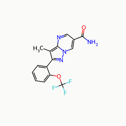 Cc1c(-c2ccccc2OC(F)(F)F)nn2cc(C(N)=O)cnc12